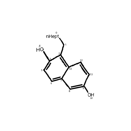 CCCCCCCCc1c(O)ccc2cc(O)ccc12